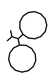 CC(C)C(C1CCCCCCCCCCCC1)C1CCCCCCCCCCCC1